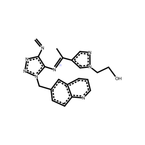 C=Nc1nnn(Cc2ccc3ncccc3c2)c1/N=C(\C)c1cnn(CCO)c1